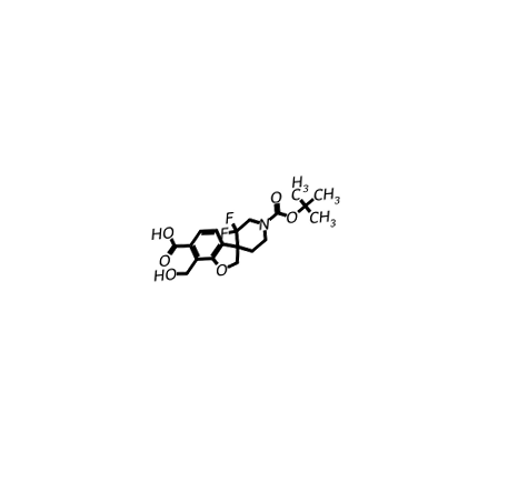 CC(C)(C)OC(=O)N1CCC2(COc3c2ccc(C(=O)O)c3CO)C(F)(F)C1